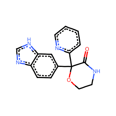 O=C1NCCOC1(c1ccc2nc[nH]c2c1)c1ccccn1